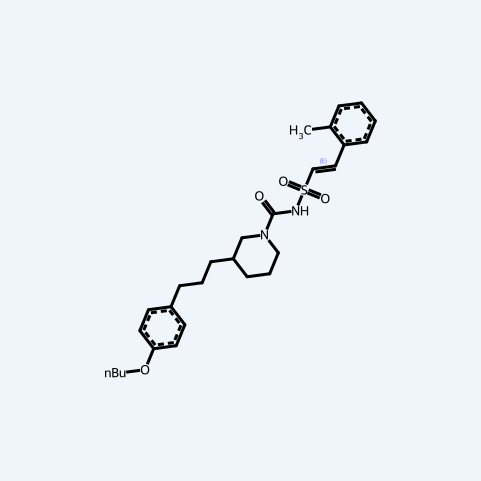 CCCCOc1ccc(CCCC2CCCN(C(=O)NS(=O)(=O)/C=C/c3ccccc3C)C2)cc1